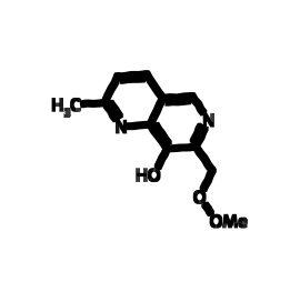 COOCc1ncc2ccc(C)nc2c1O